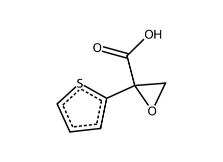 O=C(O)C1(c2cccs2)CO1